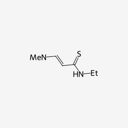 CCNC(=S)C=CNC